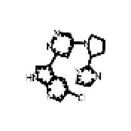 Clc1cnc2[nH]cc(-c3cc(N4CCCC4c4nccs4)cnn3)c2c1